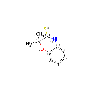 CC1(C)Oc2ccccc2NC1=S